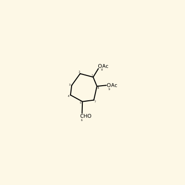 CC(=O)OC1CCCC(C=O)CC1OC(C)=O